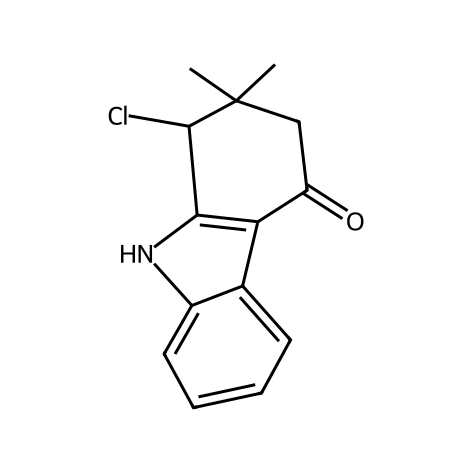 CC1(C)CC(=O)c2c([nH]c3ccccc23)C1Cl